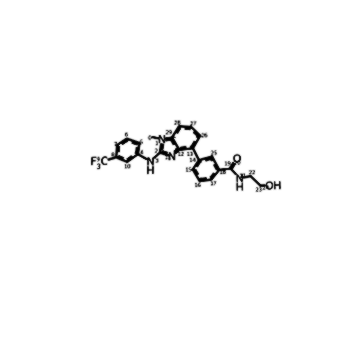 Cn1c(Nc2cccc(C(F)(F)F)c2)nc2c(-c3cccc(C(=O)NCCO)c3)cccc21